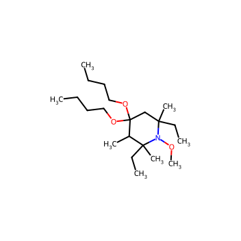 CCCCOC1(OCCCC)CC(C)(CC)N(OC)C(C)(CC)C1C